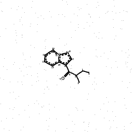 CCC(C)C(=O)c1cnn2ccccc12